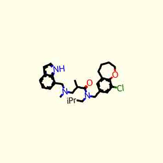 CC(C)CN(Cc1cc(Cl)c2c(c1)CCCCO2)C(=O)C(C)CN(C)Cc1cccc2cc[nH]c12